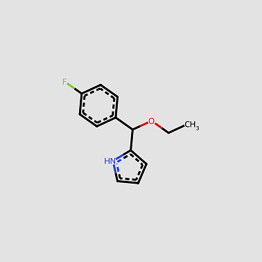 CCOC(c1ccc(F)cc1)c1ccc[nH]1